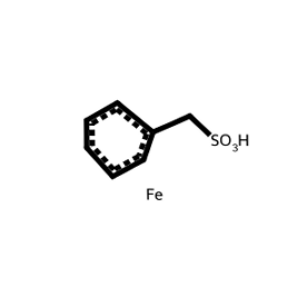 O=S(=O)(O)Cc1ccccc1.[Fe]